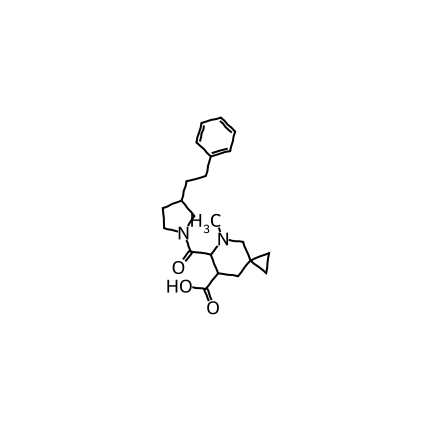 CN1CC2(CC2)CC(C(=O)O)C1C(=O)N1CCC(CCc2ccccc2)C1